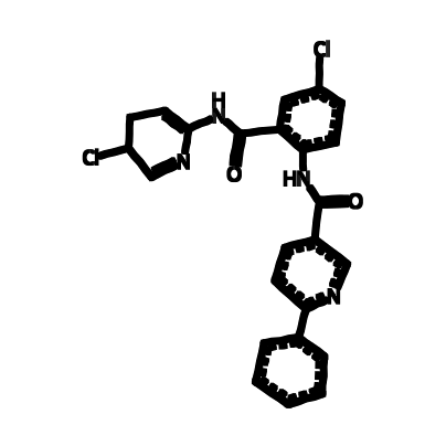 O=C(Nc1ccc(Cl)cc1C(=O)NC1=CCC(Cl)C=N1)c1ccc(-c2ccccc2)nc1